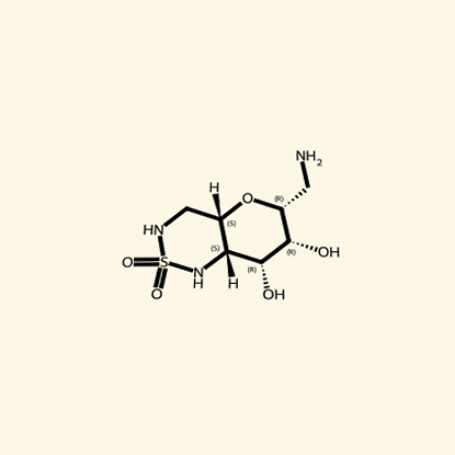 NC[C@H]1O[C@H]2CNS(=O)(=O)N[C@H]2[C@@H](O)[C@H]1O